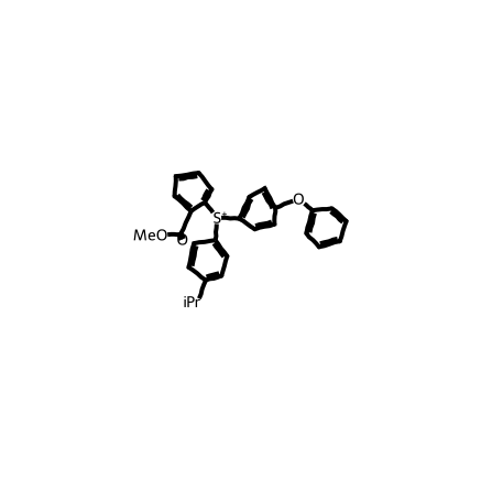 COC(=O)c1ccccc1[S+](c1ccc(Oc2ccccc2)cc1)c1ccc(C(C)C)cc1